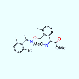 CCc1cccc(C)c1/C(C)=N/OCc1c(C)cccc1/C(=N\OC)C(=O)OC